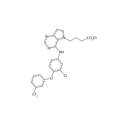 CCOC(=O)CCCn1ccc2ncnc(Nc3ccc(Oc4cccc(C(F)(F)F)c4)c(Cl)c3)c21